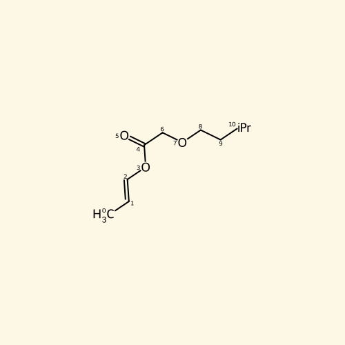 CC=COC(=O)COCCC(C)C